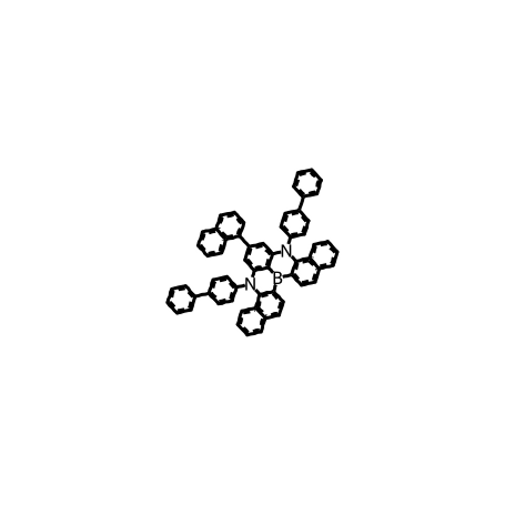 c1ccc(-c2ccc(N3c4cc(-c5cccc6ccccc56)cc5c4B(c4ccc6ccccc6c43)c3ccc4ccccc4c3N5c3ccc(-c4ccccc4)cc3)cc2)cc1